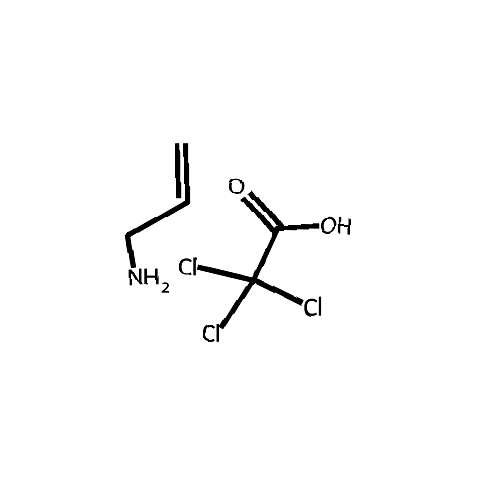 C=CCN.O=C(O)C(Cl)(Cl)Cl